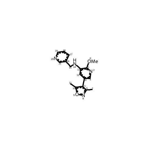 COc1ncc(-c2c(C)noc2C)cc1NCc1cccnc1